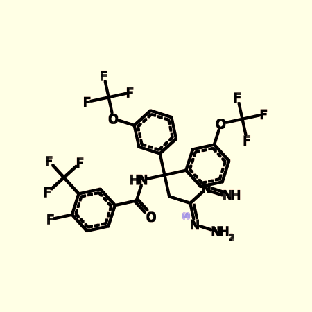 N=N/C(CC(NC(=O)c1ccc(F)c(C(F)(F)F)c1)(c1cccc(OC(F)(F)F)c1)c1cccc(OC(F)(F)F)c1)=N\N